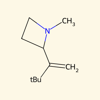 C=C(C1CCN1C)C(C)(C)C